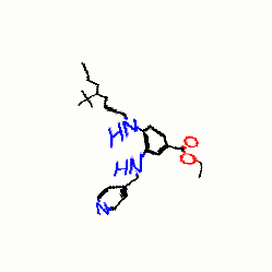 CCCC(CCCNc1ccc(C(=O)OCC)cc1NCc1ccncc1)C(C)(C)C